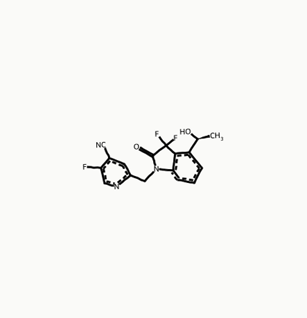 C[C@H](O)c1cccc2c1C(F)(F)C(=O)N2Cc1cc(C#N)c(F)cn1